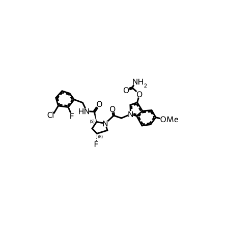 COc1ccc2c(c1)c(OC(N)=O)cn2CC(=O)N1C[C@H](F)C[C@H]1C(=O)NCc1cccc(Cl)c1F